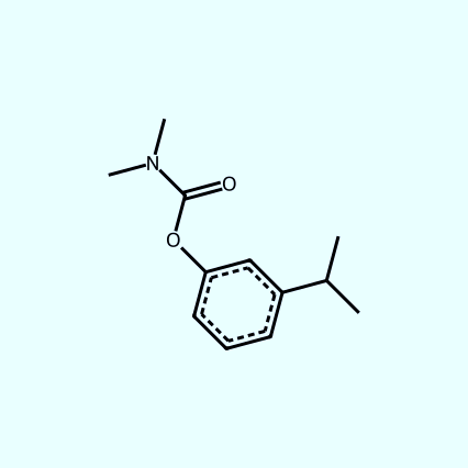 CC(C)c1cccc(OC(=O)N(C)C)c1